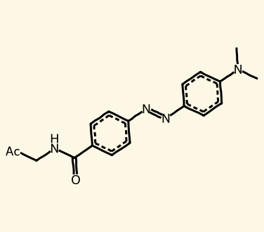 CC(=O)CNC(=O)c1ccc(/N=N/c2ccc(N(C)C)cc2)cc1